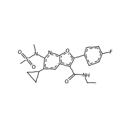 CCNC(=O)c1c(-c2ccc(F)cc2)oc2nc(N(C)S(C)(=O)=O)c(C3CC3)cc12